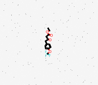 CCOC(=O)CC(=O)Cc1ccc(OC(F)(F)F)cc1